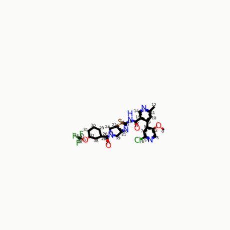 COc1cnc(Cl)cc1-c1cc(C)ncc1C(=O)Nc1nc2c(s1)CN(C(=O)C1CCCC(OC(F)(F)F)C1)C2